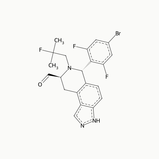 CC(C)(F)CN1[C@H](c2c(F)cc(Br)cc2F)c2ccc3[nH]ncc3c2C[C@H]1C=O